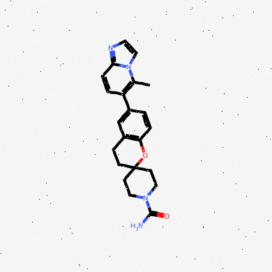 Cc1c(-c2ccc3c(c2)CCC2(CCN(C(N)=O)CC2)O3)ccc2nccn12